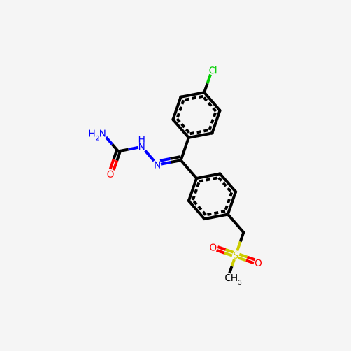 CS(=O)(=O)Cc1ccc(C(=NNC(N)=O)c2ccc(Cl)cc2)cc1